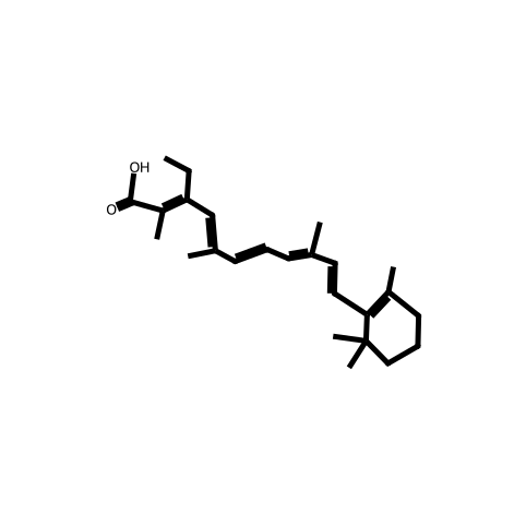 CCC(C=C(C)C=CC=C(C)C=CC1=C(C)CCCC1(C)C)=C(C)C(=O)O